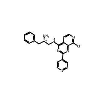 N[C@@H](CNc1nc(-c2ccncc2)nc2c(Cl)nccc12)Cc1ccccc1